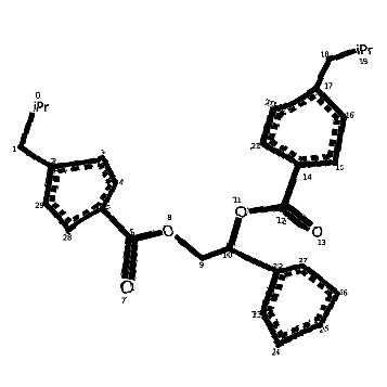 CC(C)Cc1ccc(C(=O)OCC(OC(=O)c2ccc(CC(C)C)cc2)c2ccccc2)cc1